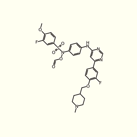 COc1ccc(S(=O)(=O)N(OC=O)c2ccc(Nc3cc(-c4ccc(OCC5CCN(C)CC5)c(F)c4)ncn3)cc2)cc1F